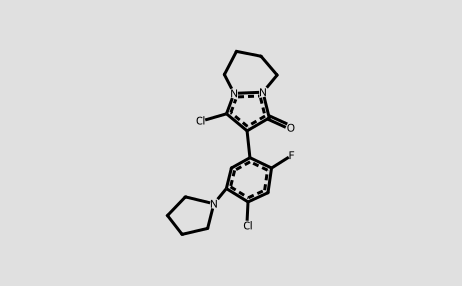 O=c1c(-c2cc(N3CCCC3)c(Cl)cc2F)c(Cl)n2n1CCCC2